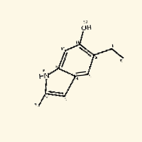 CCc1cc2cc(C)[nH]c2cc1O